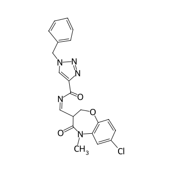 CN1C(=O)C(/C=N\C(=O)c2cn(Cc3ccccc3)nn2)COc2ccc(Cl)cc21